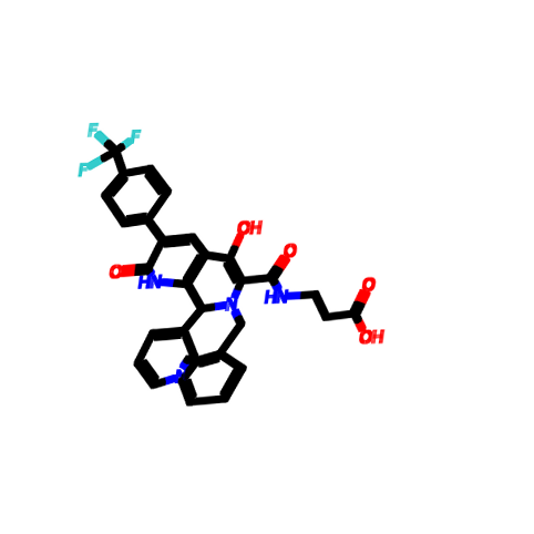 O=C(O)CCNC(=O)C1=C(O)c2cc(-c3ccc(C(F)(F)F)cc3)c(=O)[nH]c2C(c2cccnc2)N1Cc1ccccc1